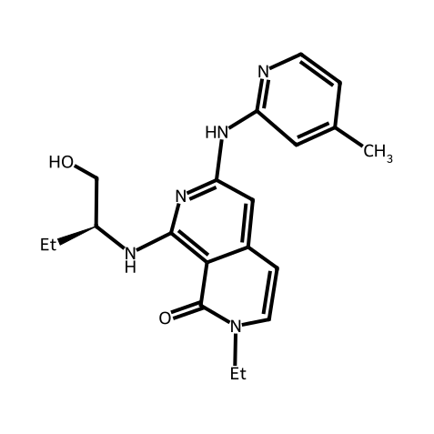 CC[C@@H](CO)Nc1nc(Nc2cc(C)ccn2)cc2ccn(CC)c(=O)c12